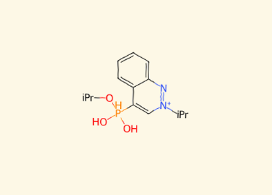 CC(C)O[PH](O)(O)c1c[n+](C(C)C)nc2ccccc12